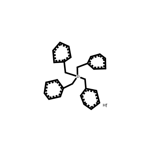 [Hf].c1ccc([CH2][Zr]([CH2]c2ccccc2)([CH2]c2ccccc2)[CH2]c2ccccc2)cc1